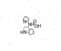 O=CO.c1ccc(NC2CCNc3ccccc32)nc1